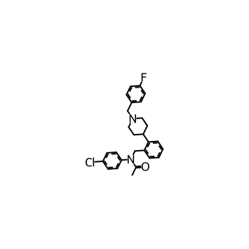 CC(=O)N(Cc1ccccc1C1CCN(Cc2ccc(F)cc2)CC1)c1ccc(Cl)cc1